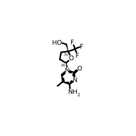 Cc1cn([C@H]2CC[C@](CO)(C(F)(F)F)O2)c(=O)nc1N